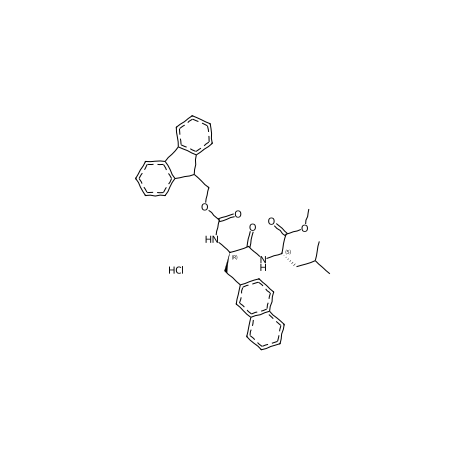 COC(=O)[C@H](CC(C)C)NC(=O)[C@@H](Cc1ccc2ccccc2c1)NC(=O)OCC1c2ccccc2-c2ccccc21.Cl